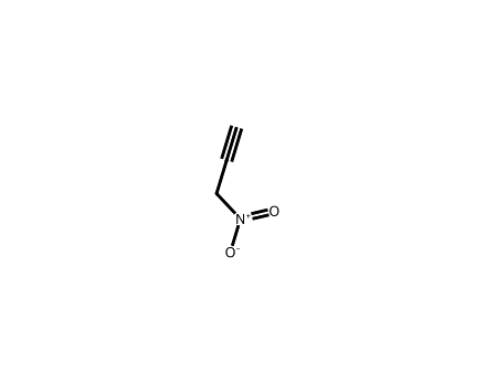 C#CC[N+](=O)[O-]